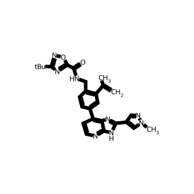 C=C(C)c1cc(-c2ccnc3[nH]c(-c4cnn(C)c4)nc23)ccc1CNC(=O)c1nc(C(C)(C)C)no1